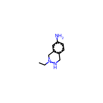 CCN1Cc2cc(N)ccc2CN1